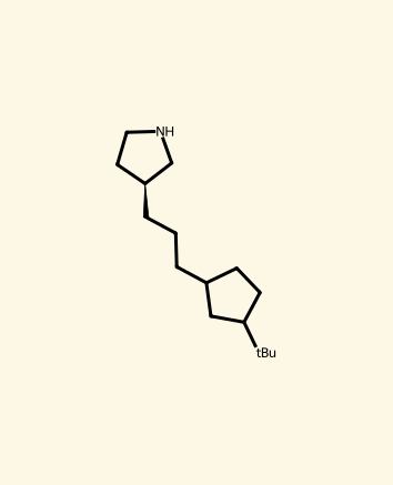 CC(C)(C)C1CCC(CCC[C@H]2CCNC2)C1